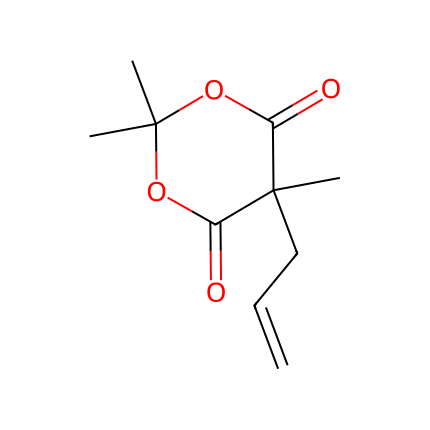 C=CCC1(C)C(=O)OC(C)(C)OC1=O